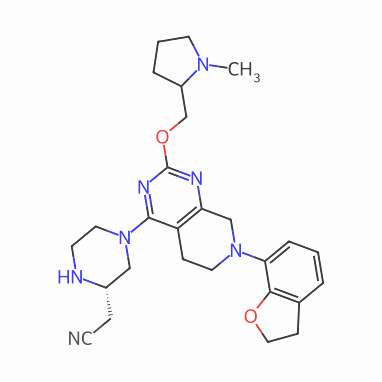 CN1CCCC1COc1nc2c(c(N3CCN[C@@H](CC#N)C3)n1)CCN(c1cccc3c1OCC3)C2